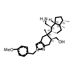 COc1ccc(Cn2cc3c(n2)C[C@H](CO)[C@@](C)([C@H]2CC[C@]4(C)[C@@H](C)CC[C@H]4[C@@H]2CN)C3)cc1